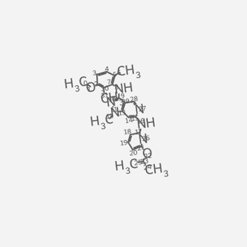 COc1ccc(C)c(Nc2nn(C)c3cc(Nc4cccc(OC(C)C)n4)ncc23)c1C